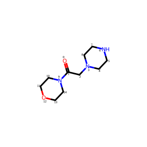 O=C(CN1[CH]CNCC1)N1CCOCC1